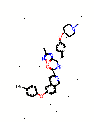 Cc1noc([C@H](Cc2ccc(OC3CCN(C)CC3)cc2)NC(=O)c2cc3cc(Oc4ccc(C(C)(C)C)cc4)ccc3cn2)n1